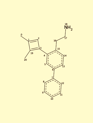 CC1=CC(c2cc(-c3ccccc3)ccc2CCN)=C1C